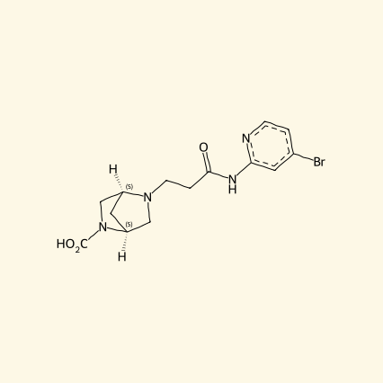 O=C(CCN1C[C@@H]2C[C@H]1CN2C(=O)O)Nc1cc(Br)ccn1